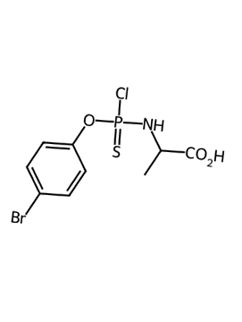 CC(NP(=S)(Cl)Oc1ccc(Br)cc1)C(=O)O